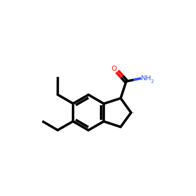 CCc1cc2c(cc1CC)C(C(N)=O)[CH]C2